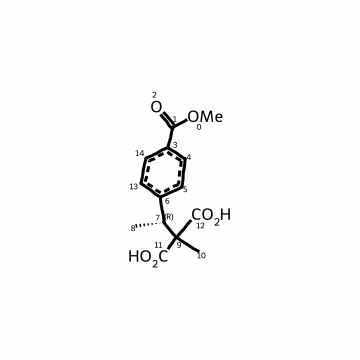 COC(=O)c1ccc([C@@H](C)C(C)(C(=O)O)C(=O)O)cc1